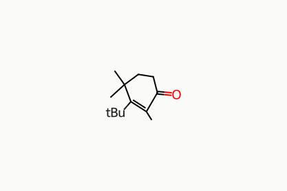 CC1=C(C(C)(C)C)C(C)(C)CCC1=O